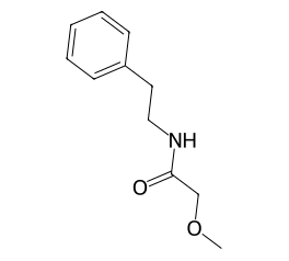 COCC(=O)NCCc1ccccc1